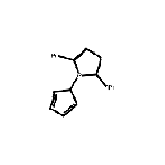 CC(C)C1CCC(C(C)C)P1C1C=CC=C1